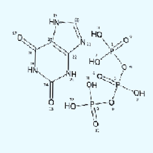 O=P(O)(O)OP(=O)(O)OP(=O)(O)O.O=c1[nH]c(=O)c2[nH]cnc2[nH]1